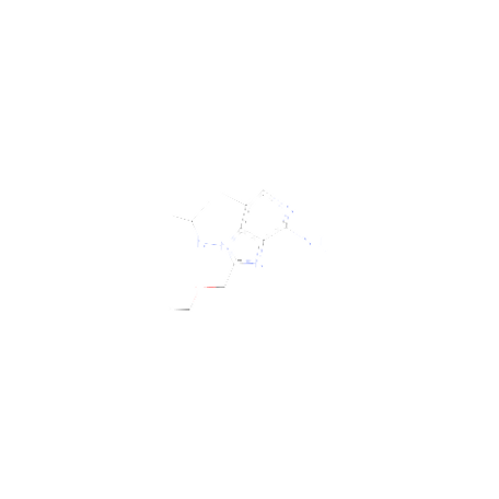 CCOCc1nc2c(N)ncc(C)c2n1NC(C)C